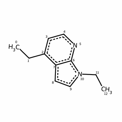 CCc1ccnc2c1ccn2CC